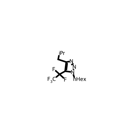 CCCCCCn1nnc(CC(C)C)c1C(F)(F)C(F)(F)F